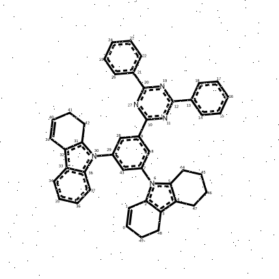 C1=Cc2c(c3c(n2-c2cc(-c4nc(-c5ccccc5)nc(-c5ccccc5)n4)cc(-n4c5c(c6ccccc64)C=CCC5)c2)CCCC3)CC1